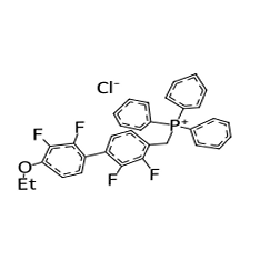 CCOc1ccc(-c2ccc(C[P+](c3ccccc3)(c3ccccc3)c3ccccc3)c(F)c2F)c(F)c1F.[Cl-]